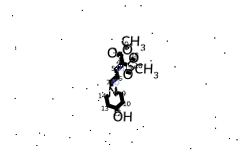 COC(=O)/C(=C/C=C/N1CCC(O)CC1)S(C)(=O)=O